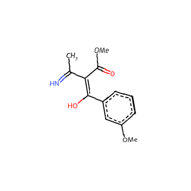 COC(=O)/C(C(C)=N)=C(/O)c1cccc(OC)c1